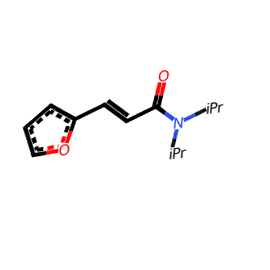 CC(C)N(C(=O)C=Cc1ccco1)C(C)C